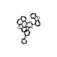 c1ccc(-c2ccc(-c3nc(-c4cccc5oc6ccccc6c45)nc(-c4cccc5ccc6oc7ccccc7c6c45)n3)cc2)cc1